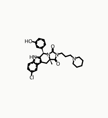 C[C@@]12Cc3c([nH]c4ccc(Cl)cc34)[C@@H](c3cccc(O)c3)N1C(=O)N(CCCN1CCCCC1)C2=O